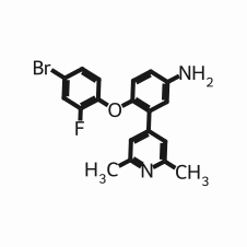 Cc1cc(-c2cc(N)ccc2Oc2ccc(Br)cc2F)cc(C)n1